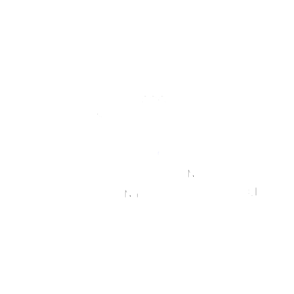 O=C([O-])CCSC1c2ccccc2C=Cc2ccc(/C=C/c3ccc4ccc(Cl)cc4n3)cc21.[Na+]